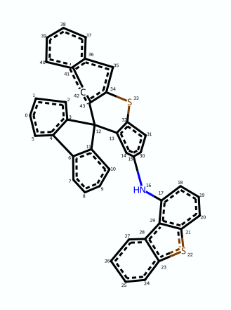 c1ccc2c(c1)-c1ccccc1C21c2cc(Nc3cccc4sc5ccccc5c34)ccc2Sc2cc3ccccc3cc21